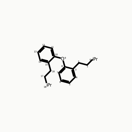 CC(C)CCc1ccccc1Oc1ccccc1CCC(C)C